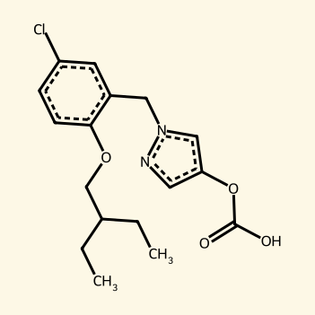 CCC(CC)COc1ccc(Cl)cc1Cn1cc(OC(=O)O)cn1